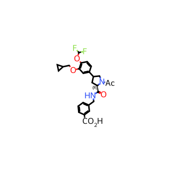 CC(=O)N1CC(c2ccc(OC(F)F)c(OCC3CC3)c2)C[C@@H]1C(=O)NCc1cccc(C(=O)O)c1